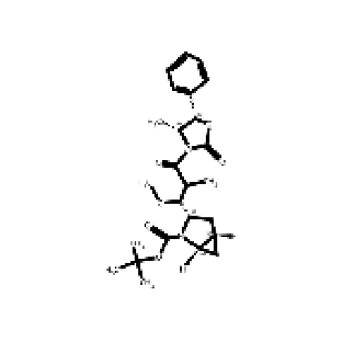 COC(C(C)C(=O)N1C(=O)O[C@@H](c2ccccc2)[C@H]1C)[C@@H]1C[C@@H]2C[C@@H]2N1C(=O)OC(C)(C)C